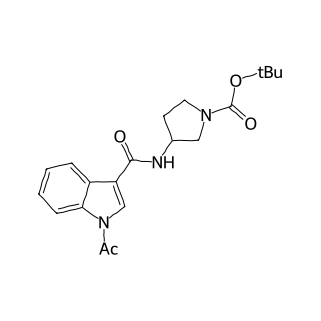 CC(=O)n1cc(C(=O)NC2CCN(C(=O)OC(C)(C)C)C2)c2ccccc21